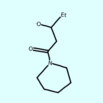 CCC([O])CC(=O)N1CCCCC1